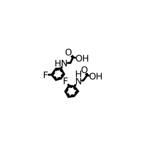 O=C(O)CNc1cccc(F)c1.O=C(O)CNc1ccccc1F